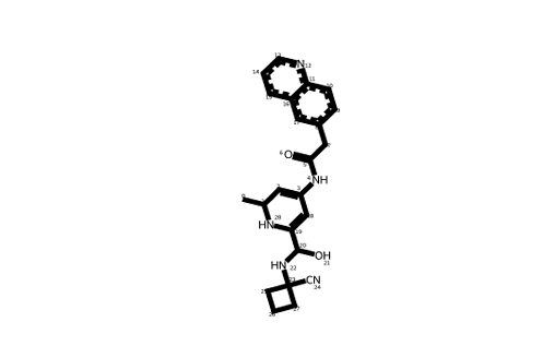 CC1C=C(NC(=O)Cc2ccc3ncccc3c2)C=C(C(O)NC2(C#N)CCC2)N1